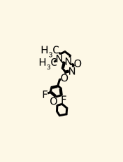 CC1CCn2c(cc(OCc3cc(F)c(OC4CCCCC4)c(F)c3)nc2=O)N1C